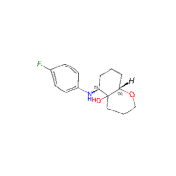 OC12CCCO[C@H]1CCC[C@@H]2Nc1ccc(F)cc1